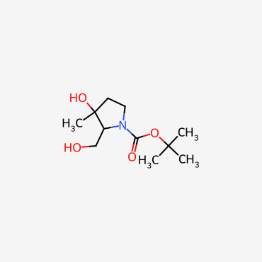 CC(C)(C)OC(=O)N1CCC(C)(O)C1CO